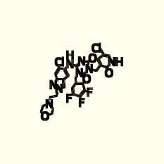 O=c1[nH]cc(Cl)cc1Cn1c(=O)nc(Nc2cc3cn(CCN4CCOCC4)nc3cc2Cl)n(Cc2cc(F)c(F)c(F)c2)c1=O